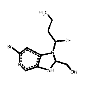 CCCC(C)N1c2cc(Br)ncc2NC1CO